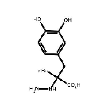 CCCCC(Cc1ccc(O)c(O)c1)(NN)C(=O)O